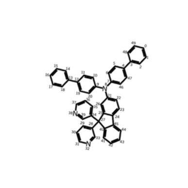 c1ccc(-c2ccc(N(c3ccc(-c4ccccc4)cc3)c3ccc4c(c3)C(c3cccnc3)(c3cccnc3)c3ccccc3-4)cc2)cc1